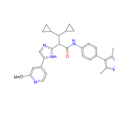 COc1cc(-c2cnc(C(C(=O)Nc3ccc(-c4c(C)n[nH]c4C)cc3)C(C3CC3)C3CC3)[nH]2)ccn1